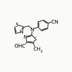 Cc1sc(N(Cc2nccs2)c2ccc(C#N)cc2)nc1C=O